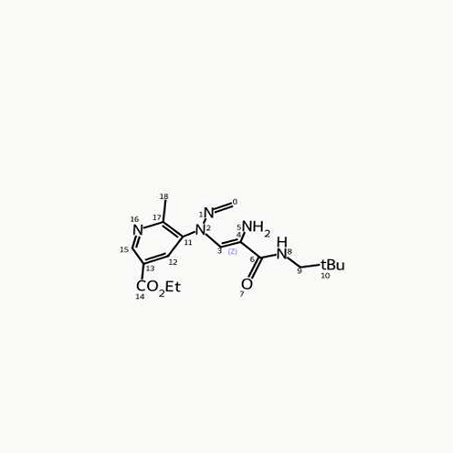 C=NN(/C=C(\N)C(=O)NCC(C)(C)C)c1cc(C(=O)OCC)cnc1C